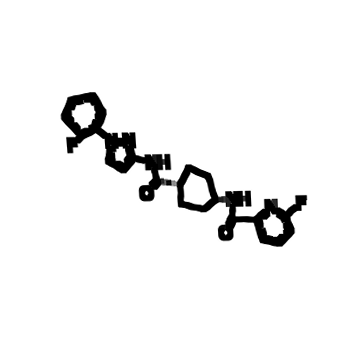 O=C(N[C@H]1CC[C@@H](C(=O)Nc2ccn(-c3ccccc3F)n2)CC1)c1cccc(F)n1